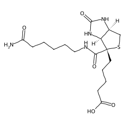 NC(=O)CCCCCNC(=O)[C@@]1(CCCCC(=O)O)SC[C@@H]2NC(=O)N[C@@H]21